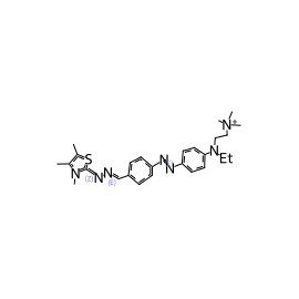 CCN(CC[N+](C)(C)C)c1ccc(/N=N/c2ccc(/C=N/N=c3\sc(C)c(C)n3C)cc2)cc1